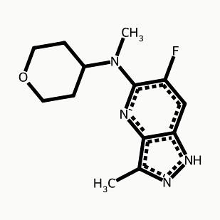 Cc1n[nH]c2cc(F)c(N(C)C3CCOCC3)nc12